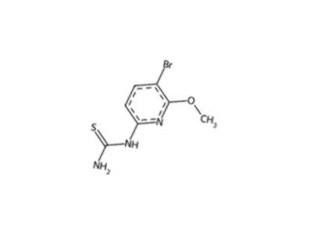 COc1nc(NC(N)=S)ccc1Br